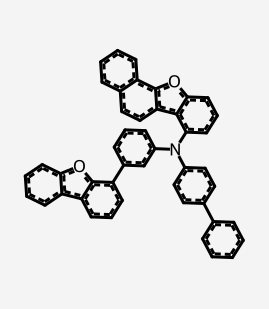 c1ccc(-c2ccc(N(c3cccc(-c4cccc5c4oc4ccccc45)c3)c3cccc4oc5c6ccccc6ccc5c34)cc2)cc1